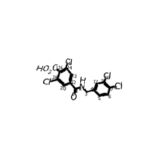 O=C(NCc1ccc(Cl)c(Cl)c1)c1cc(Cl)c(C(=O)O)c(Cl)c1